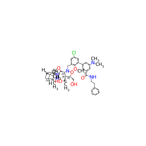 COc1c(CN2O[C@@H](CO)[C@@H]([C@H](C)O)[C@H]2C(=O)N[C@H]2C[C@H]3C[C@@H]([C@@H]2C)C3(C)C)cc(Cl)cc1-c1cc(C(=O)NCCc2ccccc2)cc(N(C)C)c1